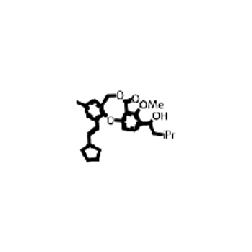 COc1c(C(O)CC(C)C)ccc2c1C(=O)OCc1cc(C)cc(/C=C/C3CCCC3)c1O2